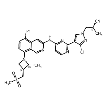 CC(C)c1ccc(N2C[C@H](CS(C)(=O)=O)[C@H]2C)c2cnc(Nc3ccnc(-c4cn(C[C@H](C)C#N)nc4Cl)n3)cc12